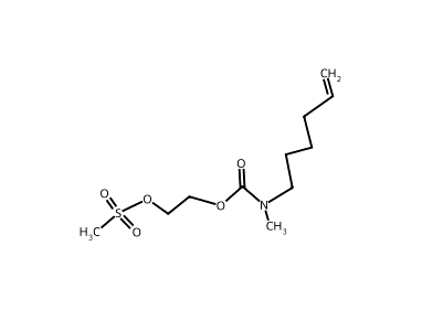 C=CCCCCN(C)C(=O)OCCOS(C)(=O)=O